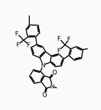 Cc1ccc(-c2ccc3c(c2)c2cc(-c4ccc(C)cc4C(F)(F)F)ccc2n3-c2cccc3c2C(=O)N(C)C3=O)c(C(F)(F)F)c1